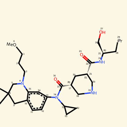 COCCCN1CC(C)(C)Cc2ccc(N(C(=O)[C@H]3CNC[C@@H](C(=O)N[C@@H](CO)CC(C)C)C3)C3CC3)cc21